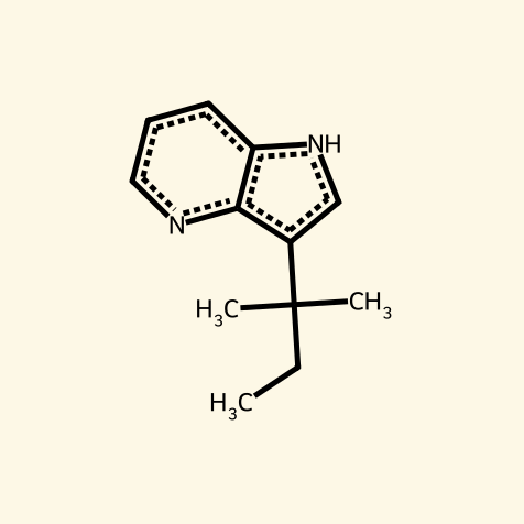 CCC(C)(C)c1c[nH]c2cccnc12